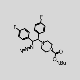 CC(C)(C)OC(=O)N1CCN([C@H](c2ccc(F)cc2)[C@@H](N=[N+]=[N-])c2ccc(F)cc2)CC1